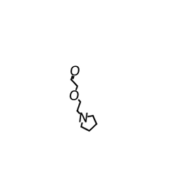 O=CCOCCN1CCCC1